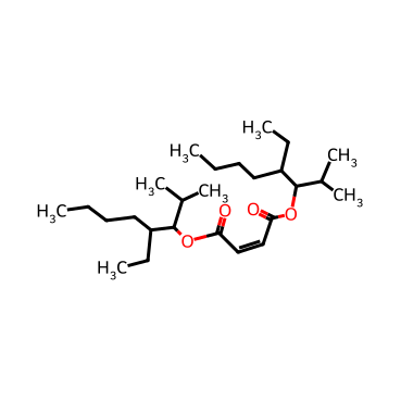 CCCCC(CC)C(OC(=O)/C=C\C(=O)OC(C(C)C)C(CC)CCCC)C(C)C